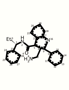 CC[C@H](NC(=O)c1c(CN)c(-c2ccccc2)nc2ccccc12)c1ccccc1